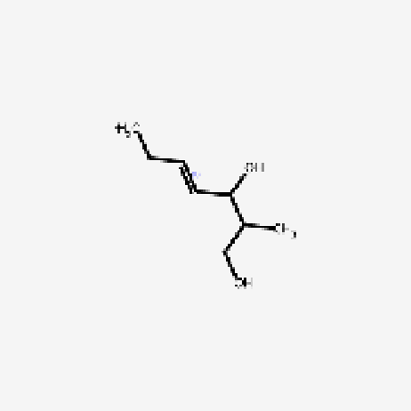 [CH2]C/C=C/C(O)C(C)CO